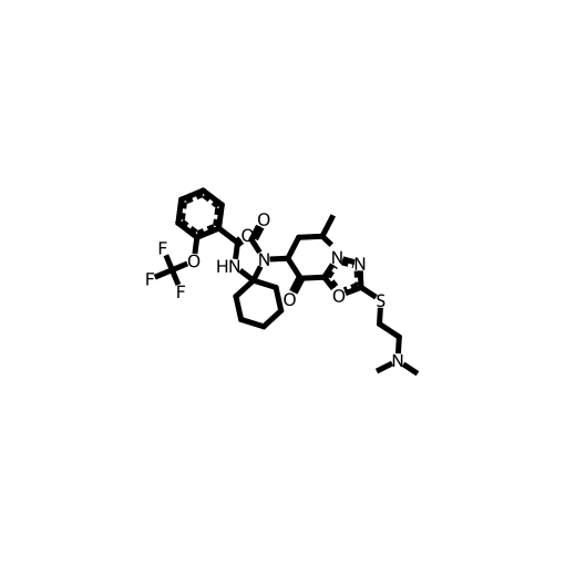 CC(C)CC(C(=O)c1nnc(SCCN(C)C)o1)N(C=O)C1(NC(=O)c2ccccc2OC(F)(F)F)CCCCC1